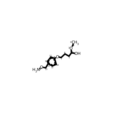 CCOC(O)CCCOc1ccc(CON)cc1